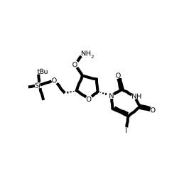 CC(C)(C)[Si](C)(C)OC[C@H]1O[C@@H](n2cc(I)c(=O)[nH]c2=O)CC1ON